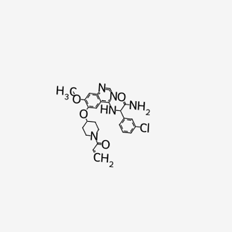 C=CC(=O)N1CCC(Oc2cc3c(NC(C(N)=O)c4cccc(Cl)c4)ncnc3cc2OC)CC1